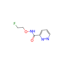 O=C(NOCCF)c1cccnn1